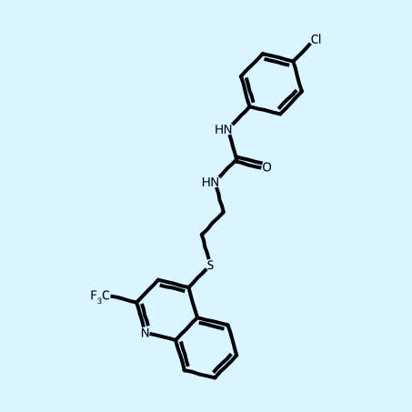 O=C(NCCSc1cc(C(F)(F)F)nc2ccccc12)Nc1ccc(Cl)cc1